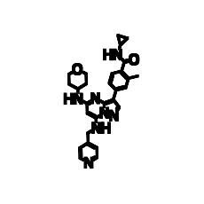 Cc1cc(-c2cnn3c(NCc4ccncc4)cc(NC4CCOCC4)nc23)ccc1C(=O)NC1CC1